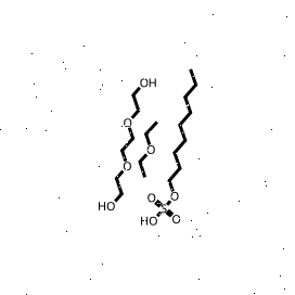 CCCCCCCCCOS(=O)(=O)O.CCOCC.OCCOCCOCCO